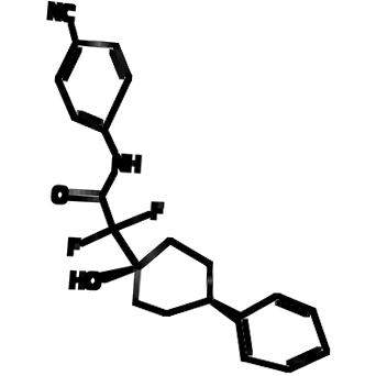 N#Cc1ccc(NC(=O)C(F)(F)[C@]2(O)CC[C@@H](c3ccccc3)CC2)cc1